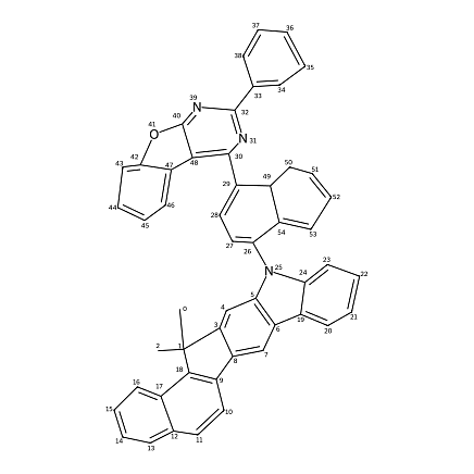 CC1(C)c2cc3c(cc2-c2ccc4ccccc4c21)c1ccccc1n3C1=CC=C(c2nc(-c3ccccc3)nc3oc4ccccc4c23)C2CC=CC=C12